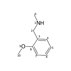 CNCc1cc[c]cc1OC